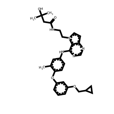 Cc1cc(Nc2ncnc3ccn(CCNC(=O)CC(C)(C)O)c23)ccc1Oc1cccc(OCC2CC2)c1